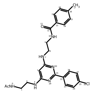 CC(=O)NCCNc1cc(NCCNC(=O)c2ccc(C)cc2)nc(-c2ccc(Cl)cc2)n1